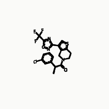 CC(C(=O)N1CCc2scc(-c3noc(C(F)(F)F)n3)c2C1)c1cccc(Cl)c1